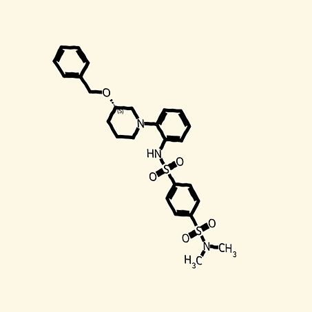 CN(C)S(=O)(=O)c1ccc(S(=O)(=O)Nc2ccccc2N2CCC[C@H](OCc3ccccc3)C2)cc1